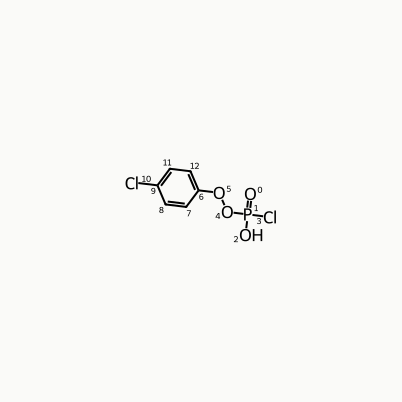 O=P(O)(Cl)OOc1ccc(Cl)cc1